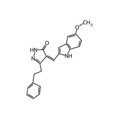 COc1ccc2[nH]c(/C=C3\C(=O)NN=C3CCc3ccccc3)cc2c1